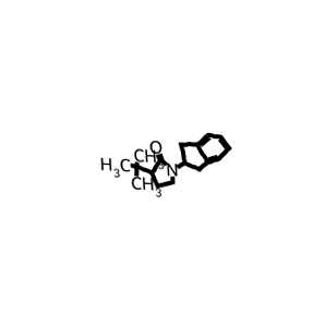 CC(C)(C)C1CCN(C2Cc3ccccc3C2)C1=O